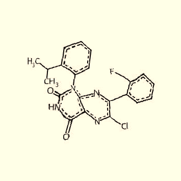 CC(C)c1ccccc1-n1c(=O)[nH]c(=O)c2nc(Cl)c(-c3ccccc3F)nc21